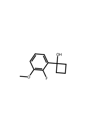 COc1cccc(C2(O)CCC2)c1F